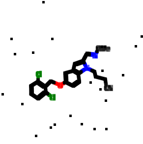 CO/N=C/c1cc2cc(OCc3c(Cl)cccc3Cl)ccc2n1CCCC#N